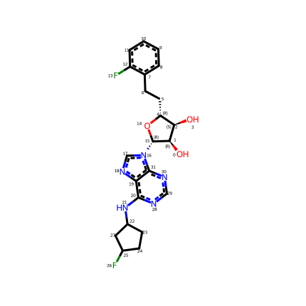 O[C@@H]1[C@H](O)[C@@H](CCc2ccccc2F)O[C@H]1n1cnc2c(NC3CCC(F)C3)ncnc21